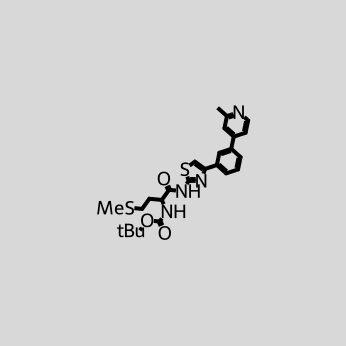 CSCCC(NC(=O)OC(C)(C)C)C(=O)Nc1nc(-c2cccc(-c3ccnc(C)c3)c2)cs1